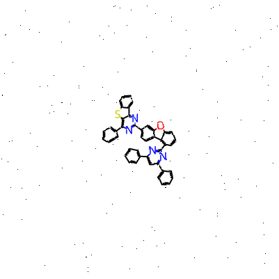 c1ccc(-c2cc(-c3ccccc3)nc(-c3cccc4oc5cc(-c6nc(-c7ccccc7)c7sc8ccccc8c7n6)ccc5c34)n2)cc1